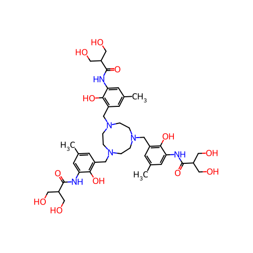 Cc1cc(CN2CCN(Cc3cc(C)cc(NC(=O)C(CO)CO)c3O)CCN(Cc3cc(C)cc(NC(=O)C(CO)CO)c3O)CC2)c(O)c(NC(=O)C(CO)CO)c1